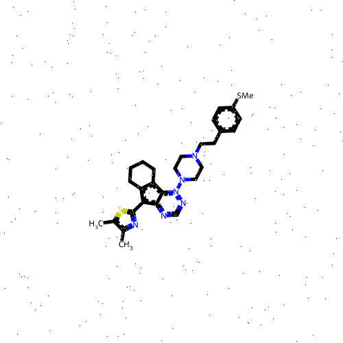 CSc1ccc(CCN2CCN(n3ncnc4c(-c5nc(C)c(C)s5)c5c(c3-4)CCCC5)CC2)cc1